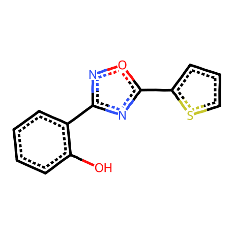 Oc1ccccc1-c1noc(-c2cccs2)n1